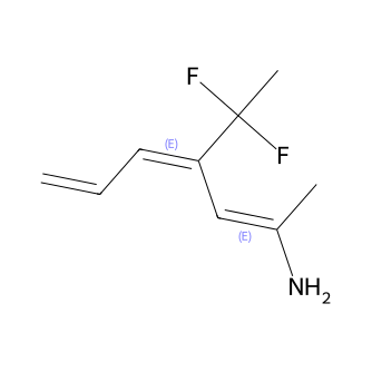 C=C/C=C(\C=C(/C)N)C(C)(F)F